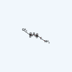 CCCCCCCCCCCCN1C(=O)c2ccc(C(=O)c3ccc4c(c3)C(=O)N(CCCCCCCCCCCCN)C4=O)cc2C1=O